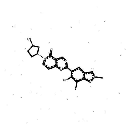 Cc1c(O)c(-c2ncc3c(=O)n([C@@H]4CC[C@@H](N)C4)ccc3n2)cc2cn(C)nc12